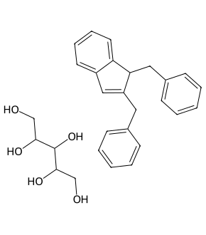 C1=C(Cc2ccccc2)C(Cc2ccccc2)c2ccccc21.OCC(O)C(O)C(O)CO